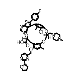 Cc1cc(OCc2ccnc([C@H]3CCCO3)n2)c2cc1OC[C@@H](CN1CCN(C)CC1)Oc1ccc(c(C)c1Cl)-c1c(-c3ccc(F)cc3)sc3ncnc(c13)O[C@@H](C(=O)O)C2